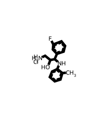 Cc1ccccc1NC(c1cccc(F)c1)C(O)CN.Cl